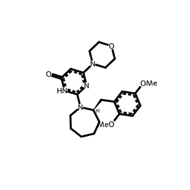 COc1ccc(OC)c(C[C@H]2CCCCCN2c2nc(N3CCOCC3)cc(=O)[nH]2)c1